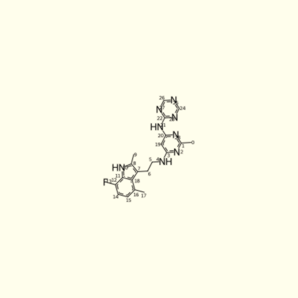 Cc1nc(NCCc2c(C)[nH]c3c(F)ccc(C)c23)cc(Nc2ncncn2)n1